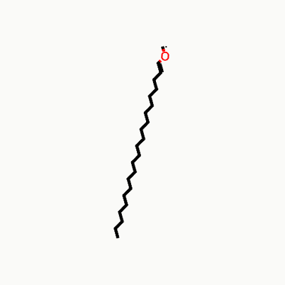 [CH2]OC=CCCCCCCCCCCCCCCCCCCCC